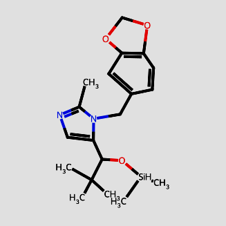 Cc1ncc(C(O[SiH](C)C)C(C)(C)C)n1Cc1ccc2c(c1)OCO2